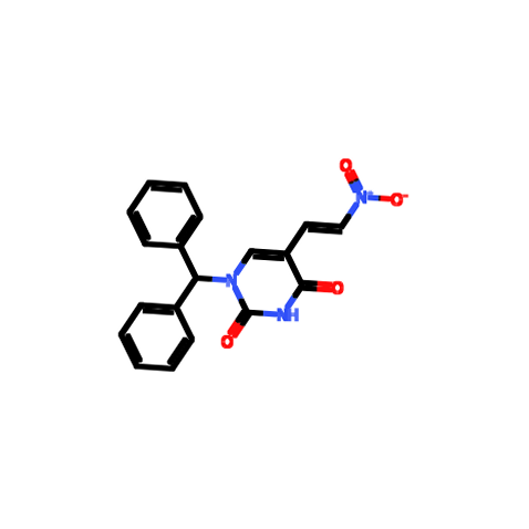 O=c1[nH]c(=O)n(C(c2ccccc2)c2ccccc2)cc1C=C[N+](=O)[O-]